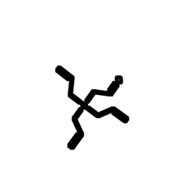 C=CC[Si](CC=C)(CC=C)CC=O